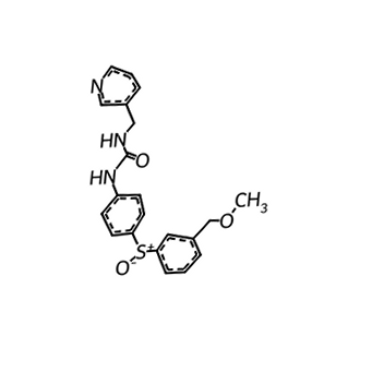 COCc1cccc([S+]([O-])c2ccc(NC(=O)NCc3cccnc3)cc2)c1